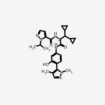 Cc1cnn(C)c1-c1ccc(NC(=O)[C@@H](NC(=O)c2ccnn2C(C)C)C(C2CC2)C2CC2)cc1O